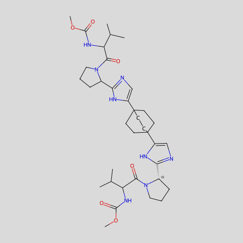 COC(=O)NC(C(=O)N1CCCC1c1ncc(C23CCC(c4cnc([C@@H]5CCCN5C(=O)C(NC(=O)OC)C(C)C)[nH]4)(CC2)CC3)[nH]1)C(C)C